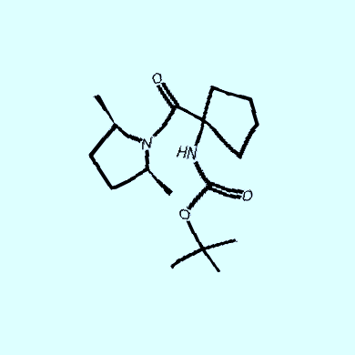 C[C@@H]1CC[C@H](C)N1C(=O)C1(NC(=O)OC(C)(C)C)CCCC1